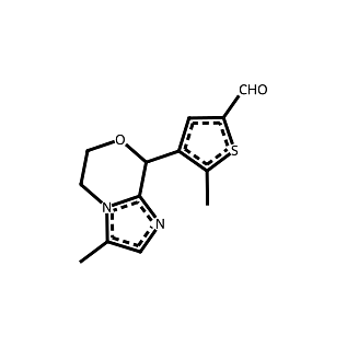 Cc1sc(C=O)cc1C1OCCn2c(C)cnc21